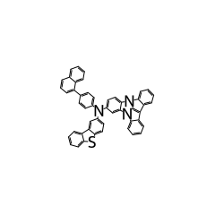 c1ccc2c(-c3ccc(N(c4ccc5sc6ccccc6c5c4)c4ccc5c(c4)n4c6ccccc6c6c7ccccc7n5c64)cc3)cccc2c1